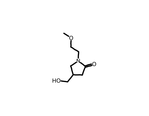 COCCN1CC(CO)CC1=O